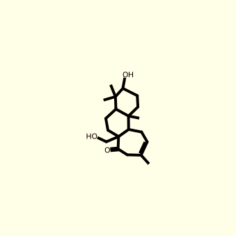 CC1=CCC2C(CO)(CCC3C(C)(C)C(O)CCC23C)C(=O)C1